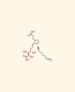 CCCCCCC#C[C@H]1CCC(CCC(=O)O)[C@@H]1CCC[C@H](O)C(O)=C(O)C(=O)O